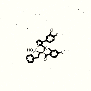 O=C(O)[C@H](Cc1ccccc1)N(Cc1sccc1-c1ccc(Cl)c(Cl)c1)C(=O)c1ccc(Cl)cc1Cl